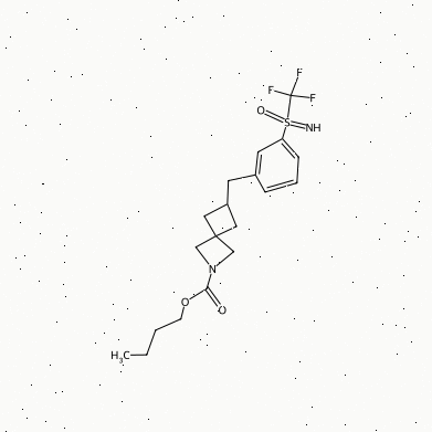 CCCCOC(=O)N1CC2(CC(Cc3cccc(S(=N)(=O)C(F)(F)F)c3)C2)C1